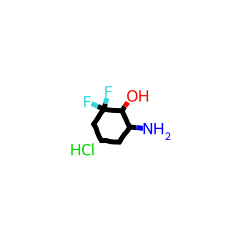 Cl.NC1CCCC(F)(F)C1O